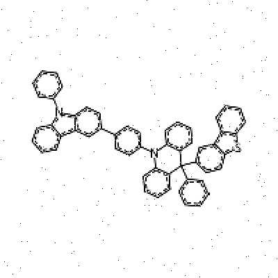 c1ccc(-n2c3ccccc3c3cc(-c4ccc(N5c6ccccc6C(c6ccccc6)(c6ccc7sc8ccccc8c7c6)c6ccccc65)cc4)ccc32)cc1